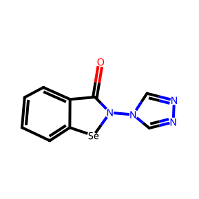 O=c1c2ccccc2[se]n1-n1cnnc1